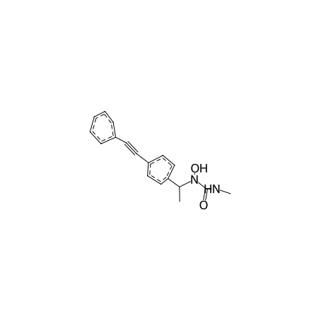 CNC(=O)N(O)C(C)c1ccc(C#Cc2ccccc2)cc1